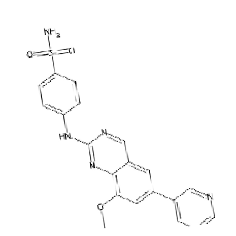 COc1cc(-c2cccnc2)cc2cnc(Nc3ccc(S(N)(=O)=O)cc3)nc12